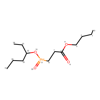 CCCCOC(=O)CC[PH](=O)OC(CC)CCC